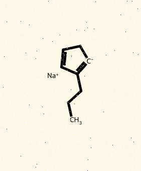 CCCC1=[C-]CC=C1.[Na+]